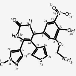 CCOc1cc(C2NC(=O)NC(c3cnn(C)c3)=C2c2ccsc2)cc([N+](=O)[O-])c1O